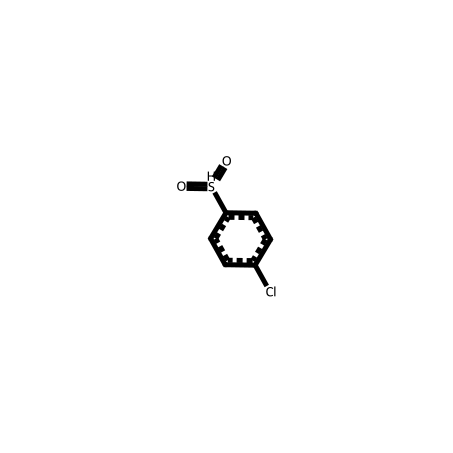 O=[SH](=O)c1ccc(Cl)cc1